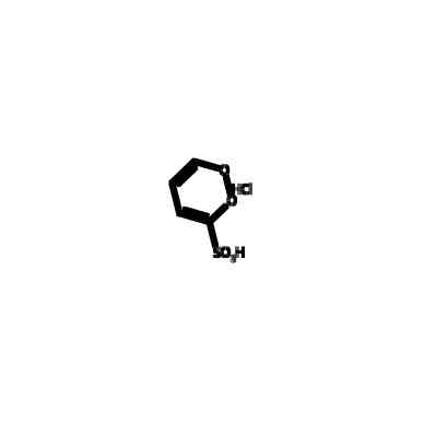 Cl.O=S(=O)(O)C1=CC=COO1